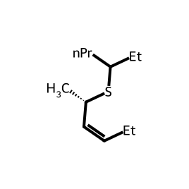 CC/C=C\[C@H](C)SC(CC)CCC